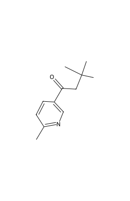 Cc1ccc(C(=O)CC(C)(C)C)cn1